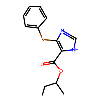 CCC(C)OC(=O)c1[nH]cnc1Sc1ccccc1